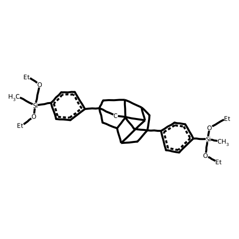 CCO[Si](C)(OCC)c1ccc(C23CC4C5CC6(c7ccc([Si](C)(OCC)OCC)cc7)CC4C(C2)C(C6)C5C3)cc1